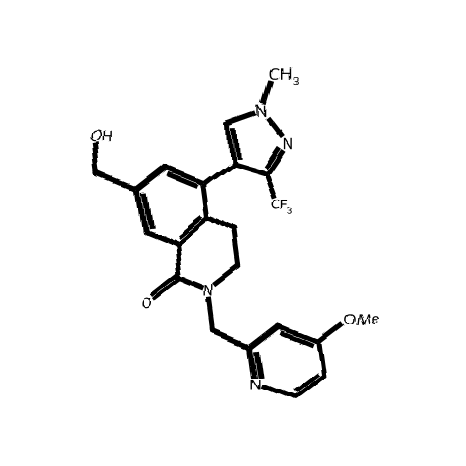 COc1ccnc(CN2CCc3c(cc(CO)cc3-c3cn(C)nc3C(F)(F)F)C2=O)c1